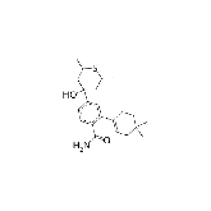 CC1CC(O)(c2ccc(C(N)=O)c(C3=CCC(C)(C)CC3)c2)CC(C)S1